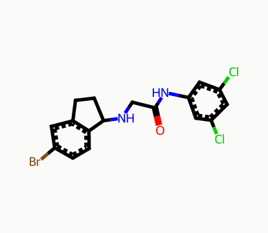 O=C(CNC1CCc2cc(Br)ccc21)Nc1cc(Cl)cc(Cl)c1